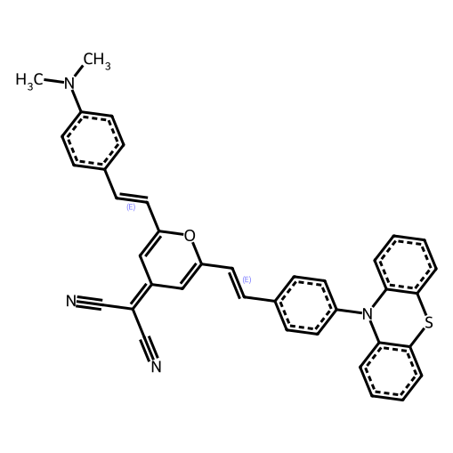 CN(C)c1ccc(/C=C/C2=CC(=C(C#N)C#N)C=C(/C=C/c3ccc(N4c5ccccc5Sc5ccccc54)cc3)O2)cc1